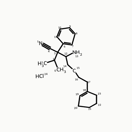 CC(C)C(C#N)(c1ccccc1)C(N)CCCCC1=CCCCC1.Cl